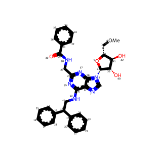 COC[C@H]1O[C@@H](n2cnc3c(NCC(c4ccccc4)c4ccccc4)nc(CNC(=O)c4ccccc4)nc32)[C@@H](O)[C@@H]1O